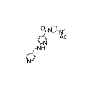 CC(=O)N(C)[C@H]1CCN(C(=O)c2ccc(NCc3ccncc3)nc2)C1